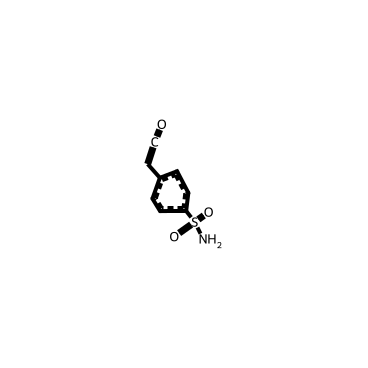 NS(=O)(=O)c1ccc(C=C=O)cc1